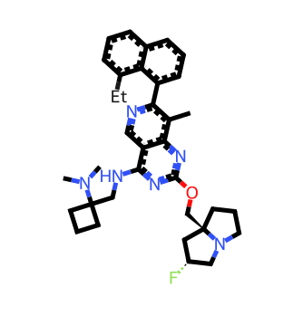 CCc1cccc2cccc(-c3ncc4c(NCC5(N(C)C)CCC5)nc(OC[C@@]56CCCN5C[C@H](F)C6)nc4c3C)c12